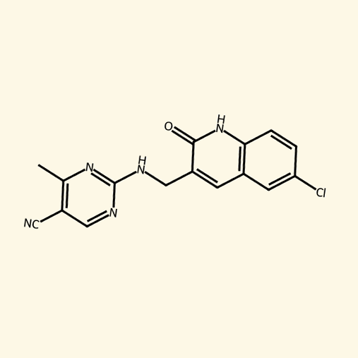 Cc1nc(NCc2cc3cc(Cl)ccc3[nH]c2=O)ncc1C#N